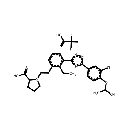 CCc1c(CCN2CCCC2C(=O)O)cccc1-c1nnc(-c2ccc(OC(C)C)c(Cl)c2)s1.O=C(O)C(F)(F)F